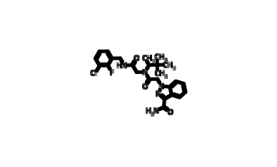 CC(N(CC(=O)NCc1cccc(Cl)c1F)C(=O)Cn1nc(C(N)=O)c2ccccc21)C(C)(C)C